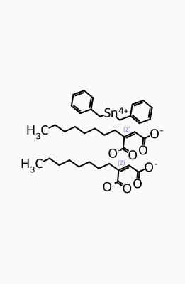 CCCCCCCC/C(=C/C(=O)[O-])C(=O)[O-].CCCCCCCC/C(=C/C(=O)[O-])C(=O)[O-].c1ccc([CH2][Sn+4][CH2]c2ccccc2)cc1